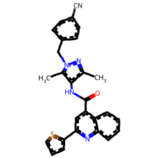 Cc1nn(Cc2ccc(C#N)cc2)c(C)c1NC(=O)c1cc(-c2cccs2)nc2ccccc12